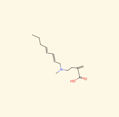 C=C(CCN(C)CC=CC=CCCC)C(=O)O